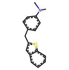 CN(C)c1ccc(Cc2cc3ccccc3s2)cc1